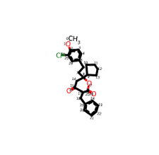 COc1ccc(CCC2(C3CCCC3)CC(=O)C(Cc3ccccc3)C(=O)O2)cc1Cl